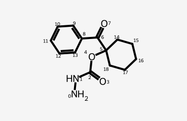 NNC(=O)OC1(C(=O)c2ccccc2)CCCCC1